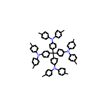 Cc1ccc(N(c2ccc(C)cc2)c2ccc(C(c3ccc(N(c4ccc(C)cc4)c4ccc(C)cc4)cc3)(c3ccc(N(c4ccc(C)cc4)c4ccc(C)cc4)cc3)c3ccc(N(c4ccc(C)cc4)c4ccc(C)cc4)cc3)cc2)cc1